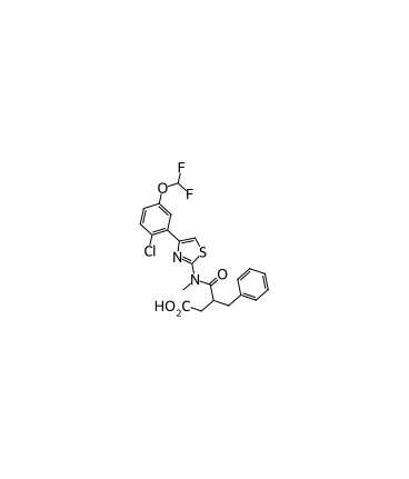 CN(C(=O)C(CC(=O)O)Cc1ccccc1)c1nc(-c2cc(OC(F)F)ccc2Cl)cs1